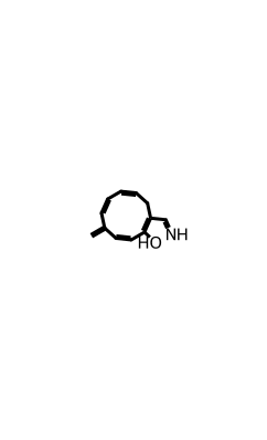 C=C1/C=C\C=C/C/C(C=N)=C(O)\C=C/1